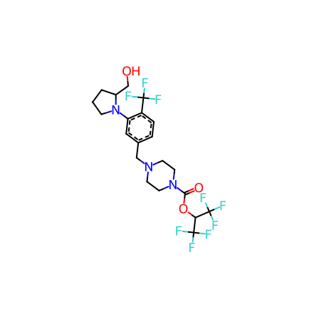 O=C(OC(C(F)(F)F)C(F)(F)F)N1CCN(Cc2ccc(C(F)(F)F)c(N3CCCC3CO)c2)CC1